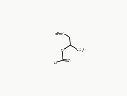 CCCCCCC(OC(=O)CC)C(=O)O